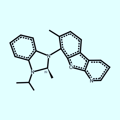 Cc1ccc2c(oc3ncccc32)c1N1c2ccccc2N(C(C)C)[C@@H]1C